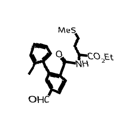 CCOC(=O)C(CCSC)NC(=O)c1ccc(C=O)cc1-c1ccccc1C